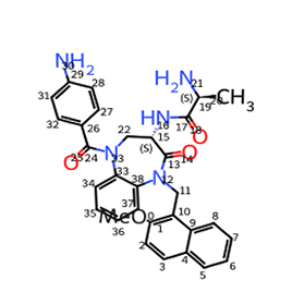 COc1ccc2ccccc2c1CN1C(=O)[C@@H](NC(=O)[C@H](C)N)CN(C(=O)c2ccc(N)cc2)c2ccccc21